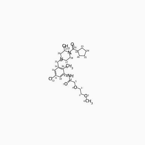 COCCOCC(=O)Nc1cc(Cl)cc(CN2CCN(C(=O)C3CCCC3)C(C)C2)c1C